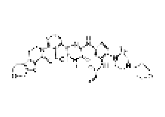 C=CC(=O)Nc1cc(Nc2nc(-c3ccnc(N4CCc5c(sc6c5CCOC6)C4=O)c3CO)cn(C)c2=O)ccc1N1CCN(C2CCOCC2)C[C@@H]1C